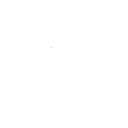 CC(C)(C)NC(=O)OS(=O)(=O)c1ccc([N+](=O)[O-])cc1